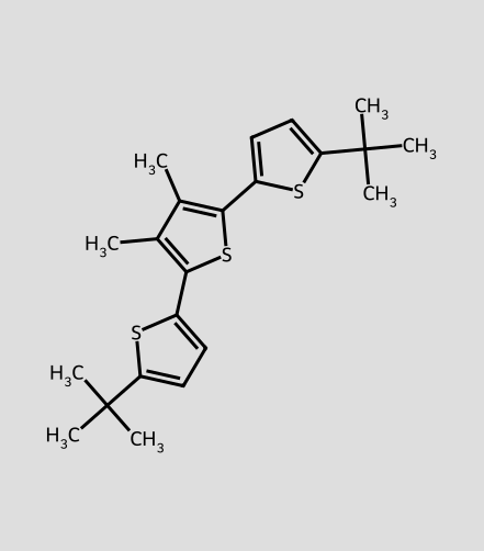 Cc1c(-c2ccc(C(C)(C)C)s2)sc(-c2ccc(C(C)(C)C)s2)c1C